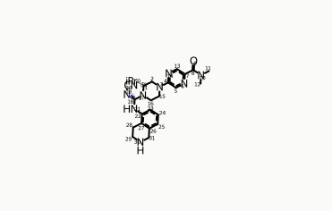 CC(C)[C@@H]1CN(c2cnc(C(=O)N(C)C)cn2)CCN1/C(=N\C#N)Nc1cccc2c1CCNC2